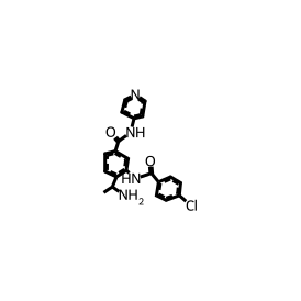 CC(N)c1ccc(C(=O)Nc2ccncc2)cc1NC(=O)c1ccc(Cl)cc1